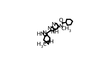 CN(C(=O)C1CCCCC1)c1cnc2nc(-c3n[nH]c4c3C[C@@H]3C[C@]3(C)C4)[nH]c2c1